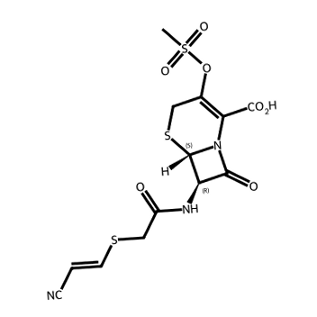 CS(=O)(=O)OC1=C(C(=O)O)N2C(=O)[C@@H](NC(=O)CSC=CC#N)[C@@H]2SC1